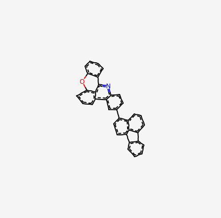 c1ccc2c(c1)Oc1cccc3c1c-2nc1ccc(-c2ccc4c5c(cccc25)-c2ccccc2-4)cc13